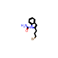 BrCCCc1cc2ccccc2[nH]1.NC=O